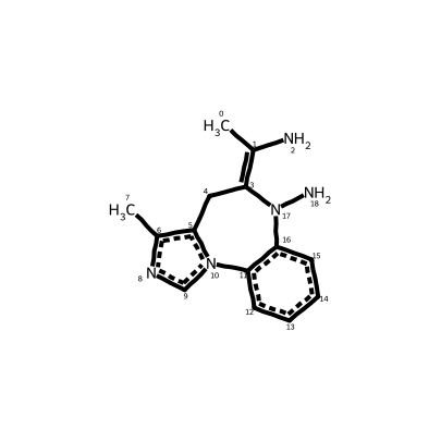 C/C(N)=C1\Cc2c(C)ncn2-c2ccccc2N1N